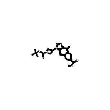 CC(C)(C)OC(=O)N1CC(n2nnc3c(F)c4c(cc32)CC(C(=O)O)C4)C1